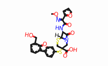 CON=C(C(=O)N[C@@H]1C(=O)N2CC(Sc3ccc4c(c3)oc3c(CO)cccc34)(C(=O)O)CS[C@H]12)c1ccco1